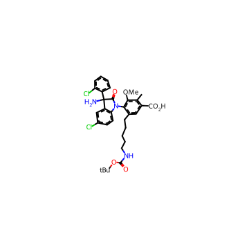 COc1c(C)c(C(=O)O)cc(CCCCCNC(=O)OC(C)(C)C)c1N1C(=O)C(N)(c2ccccc2Cl)c2cc(Cl)ccc21